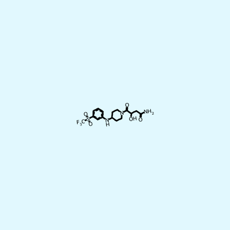 NC(=O)CC(O)C(=O)N1CCC(Nc2cccc(S(=O)(=O)C(F)(F)F)c2)CC1